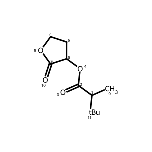 CC(C(=O)OC1CCOC1=O)C(C)(C)C